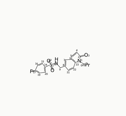 CCCn1c(=O)ccc2cc(CNS(=O)(=O)c3ccc(F)cc3)ccc21